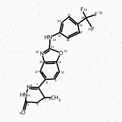 CC1CC(=O)NN=C1c1ccc2oc(Nc3ccc(C(F)(F)F)cc3)nc2c1